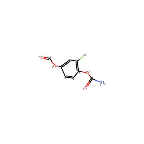 NC(=O)Oc1ccc(OC=O)cc1F